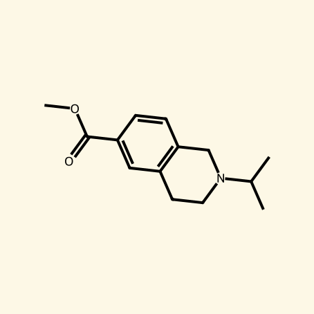 COC(=O)c1ccc2c(c1)CCN(C(C)C)C2